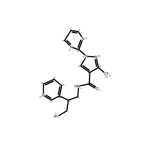 CC(C)CC(CNC(=O)c1cn(-c2ncccn2)nc1C(F)(F)F)c1cccnc1